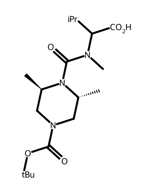 CC(C)C(C(=O)O)N(C)C(=O)N1[C@H](C)CN(C(=O)OC(C)(C)C)C[C@H]1C